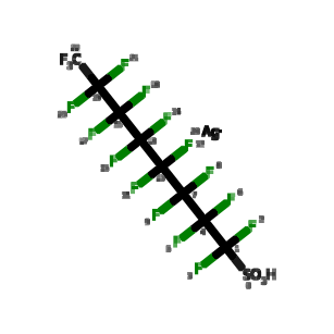 O=S(=O)(O)C(F)(F)C(F)(F)C(F)(F)C(F)(F)C(F)(F)C(F)(F)C(F)(F)C(F)(F)F.[Ag]